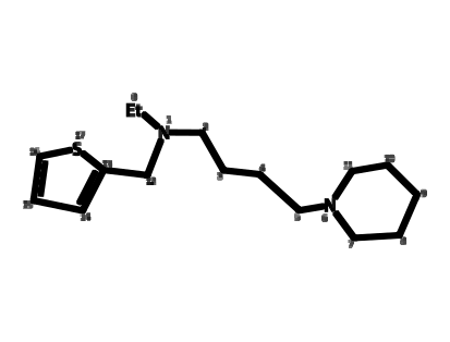 CCN(CCCCN1CC[CH]CC1)Cc1cccs1